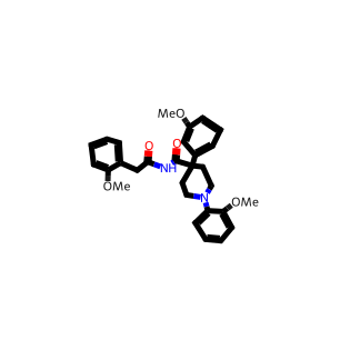 COc1cccc(C2(C(=O)NC(=O)Cc3ccccc3OC)CCN(c3ccccc3OC)CC2)c1